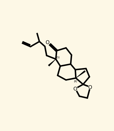 C=CC(C)CC[C@]1(C)C(=O)CCC2C1CC[C@]1(C)C2CCC12OCCO2